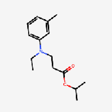 CCN(CCC(=O)OC(C)C)c1cccc(C)c1